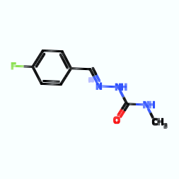 CNC(=O)N/N=C/c1ccc(F)cc1